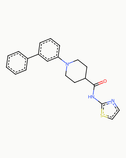 O=C(Nc1nccs1)C1CCN(c2cccc(-c3ccccc3)c2)CC1